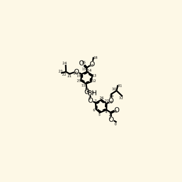 COC(=O)c1ccc(OBOc2ccc(C(=O)OC)c(OCC(C)C)c2)cc1OCC(C)C